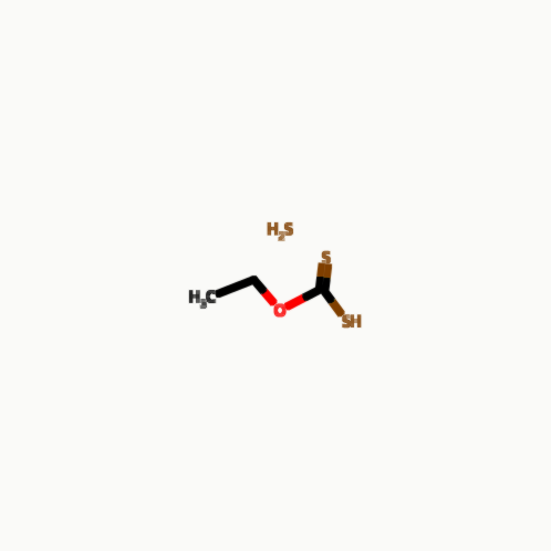 CCOC(=S)S.S